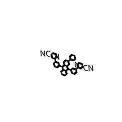 N#Cc1ccnc(-c2cccc(-c3c4ccccc4c(-c4cccc(-c5cc(C#N)ccn5)c4)c4cc(-c5ccccc5)ccc34)c2)c1